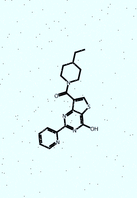 CCC1CCN(C(=O)c2csc3c(O)nc(-c4ccccn4)nc23)CC1